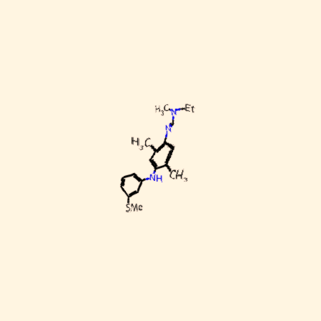 CCN(C)C=Nc1cc(C)c(Nc2cccc(SC)c2)cc1C